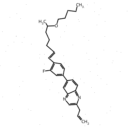 C=CCc1cnc2cc(-c3ccc(C=CCCCC(C)OCCCCC)c(F)c3)ccc2n1